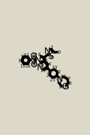 Cc1cnc(-c2cn(S(=O)(=O)c3ccccc3)c3ncc(C4CCC(N5CCCOCC5)CC4)cc23)s1